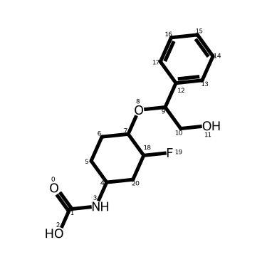 O=C(O)NC1CCC(OC(CO)c2ccccc2)C(F)C1